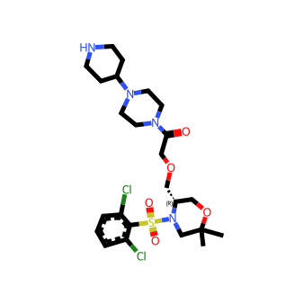 CC1(C)CN(S(=O)(=O)c2c(Cl)cccc2Cl)[C@H](COCC(=O)N2CCN(C3CCNCC3)CC2)CO1